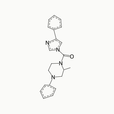 CC1CN(c2ccccc2)CCN1C(=O)n1cnc(-c2ccccc2)c1